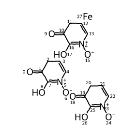 O=C1CC=C[N+]([O-])=C1O.O=C1CC=C[N+]([O-])=C1O.O=C1CC=C[N+]([O-])=C1O.[Fe]